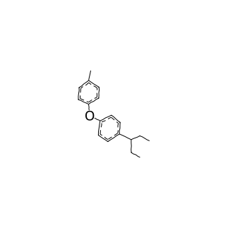 CCC(CC)c1ccc(Oc2ccc(C)cc2)cc1